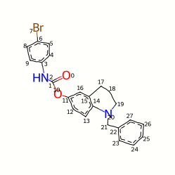 O=C(Nc1ccc(Br)cc1)Oc1ccc2c(c1)CCCN2Cc1ccccc1